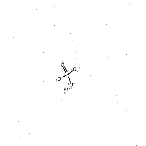 O=P([O-])([O-])O.[Pt+2]